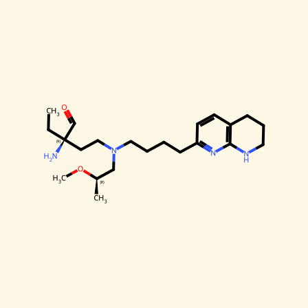 CC[C@](N)(C=O)CCN(CCCCc1ccc2c(n1)NCCC2)C[C@@H](C)OC